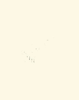 C=Cc1c(OCc2ccc(C(C)(C)C)cc2)cnn(C(C)(C)C)c1=O